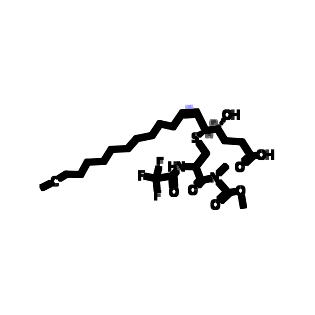 CCCCCCCCCCCC/C=C\[C@H](SCC(NC(=O)C(F)(F)F)C(=O)N(C)C(=O)OC)[C@H](O)CCC(=O)O